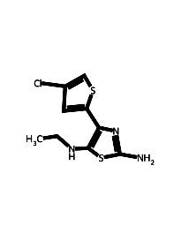 CCNc1sc(N)nc1-c1cc(Cl)cs1